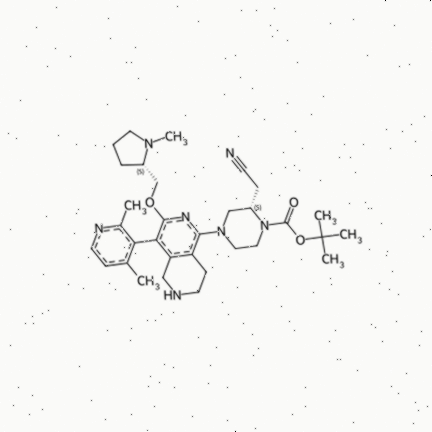 Cc1ccnc(C)c1-c1c(OC[C@@H]2CCCN2C)nc(N2CCN(C(=O)OC(C)(C)C)[C@@H](CC#N)C2)c2c1CNCC2